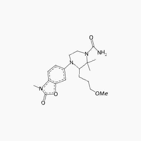 COCCCC1N(c2ccc3c(c2)oc(=O)n3C)CCN(C(N)=O)C1(C)C